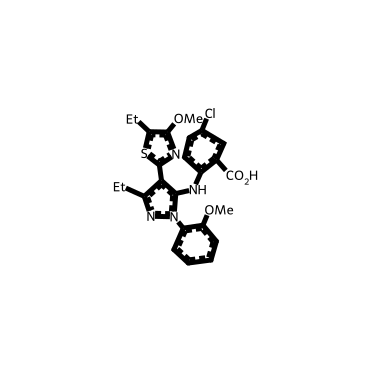 CCc1nn(-c2ccccc2OC)c(Nc2ccc(Cl)cc2C(=O)O)c1-c1nc(OC)c(CC)s1